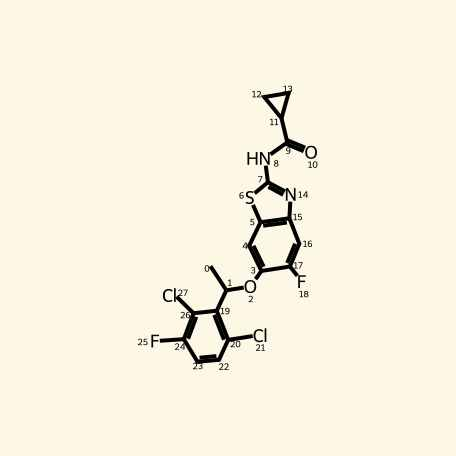 CC(Oc1cc2sc(NC(=O)C3CC3)nc2cc1F)c1c(Cl)ccc(F)c1Cl